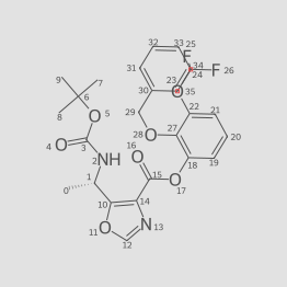 C[C@H](NC(=O)OC(C)(C)C)c1ocnc1C(=O)Oc1cccc(OC(F)F)c1OCc1ccccc1